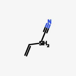 C=C[SiH2]C#N